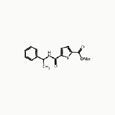 COC(=O)c1ccc(C(=O)NC(C)c2ccccc2)s1